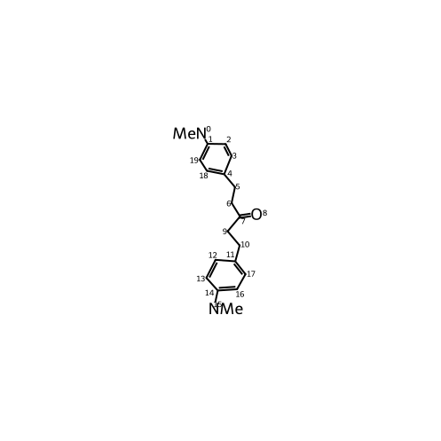 CNc1ccc(CCC(=O)CCc2ccc(NC)cc2)cc1